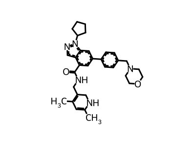 CC1=CC(C)=C(CNC(=O)c2cc(-c3ccc(CN4CCOCC4)cc3)cc3c2cnn3C2CCCC2)CN1